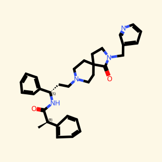 C[C@@H](C(=O)N[C@@H](CCN1CCC2(CC1)CCN(Cc1cccnc1)C2=O)c1ccccc1)c1ccccc1